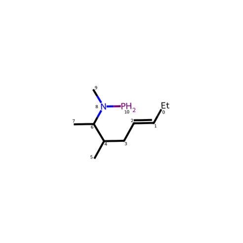 CC/C=C/CC(C)C(C)N(C)P